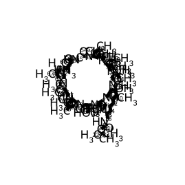 CC[C@@H]1NC(=O)C([C@H](O)[C@H](C)CCCCCCNC(=O)OC(C)(C)C)N(C)C(=O)[C@H](C(C)C)N(C)C(=O)[C@H](CC(C)C)N(C)C(=O)C(CC(C)C)N(C)C(=O)CNC(=O)[C@@H](C)NC(=O)[C@@H](CC(C)C)N(C)C(=O)[C@@H](C(C)C)NC(=O)[C@H](CC(C)C)N(C)C(=O)[C@@H](C(=O)O)N(C)C1=O